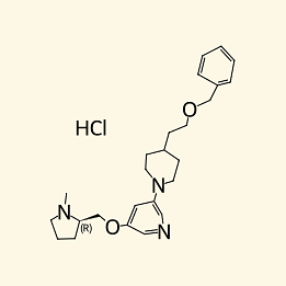 CN1CCC[C@@H]1COc1cncc(N2CCC(CCOCc3ccccc3)CC2)c1.Cl